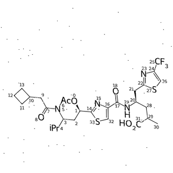 CC(=O)O[C@H](CC(C(C)C)N(C)C(=O)CC1CCC1)c1nc(C(=O)N[C@@H](Cc2nc(C(F)(F)F)cs2)CC(C)C(=O)O)cs1